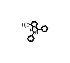 Cc1cccc2c(-c3ccccc3)nc(-c3ccccc3)nc12